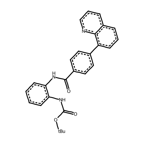 CC(C)(C)OC(=O)Nc1ccccc1NC(=O)c1ccc(-c2cccc3cccnc23)cc1